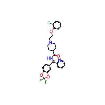 O=C(N[C@H](c1ccc2c(c1)OC(F)(F)O2)c1ccccn1)C1CCN(CCOc2ccccc2F)CC1